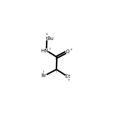 CCC(Br)C(=O)NC(C)(C)C